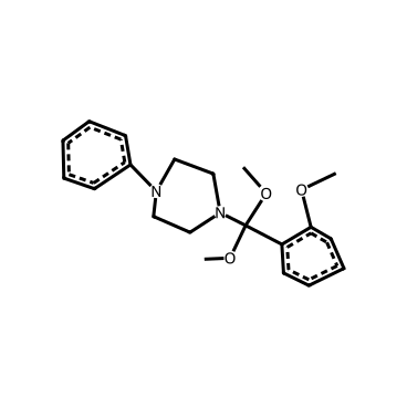 COc1ccccc1C(OC)(OC)N1CCN(c2ccccc2)CC1